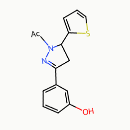 CC(=O)N1N=C(c2cccc(O)c2)CC1c1cccs1